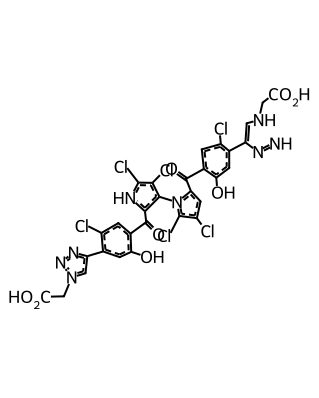 N=N/C(=C\NCC(=O)O)c1cc(O)c(C(=O)c2cc(Cl)c(Cl)n2-c2c(C(=O)c3cc(Cl)c(-c4cn(CC(=O)O)nn4)cc3O)[nH]c(Cl)c2Cl)cc1Cl